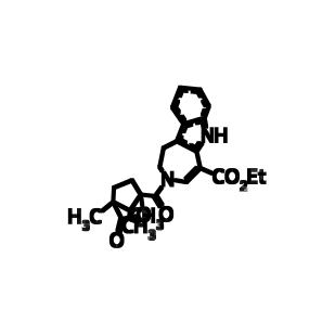 CCOC(=O)C1=CN(C(=O)C23CCC(C)(C(=O)O2)C3(C)C)CCc2c1[nH]c1ccccc21